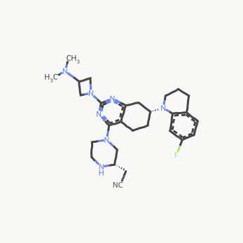 CN(C)C1CN(c2nc3c(c(N4CCN[C@@H](CC#N)C4)n2)CC[C@@H](N2CCCc4ccc(F)cc42)C3)C1